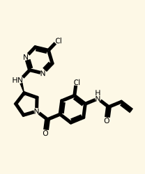 C=CC(=O)Nc1ccc(C(=O)N2CC[C@@H](Nc3ncc(Cl)cn3)C2)cc1Cl